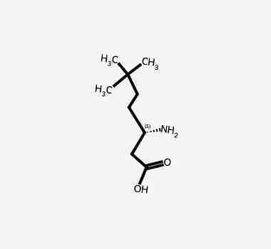 CC(C)(C)CC[C@H](N)CC(=O)O